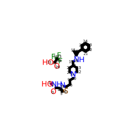 O=C(NO)c1csc(CCCN2CCC(CNC3CC3c3ccccc3)CC2)n1.O=C(O)C(F)(F)F